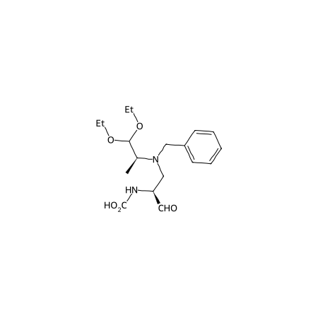 CCOC(OCC)[C@H](C)N(Cc1ccccc1)C[C@@H](C=O)NC(=O)O